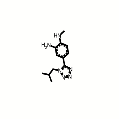 CNc1ccc(-c2nnnn2CC(C)C)cc1N